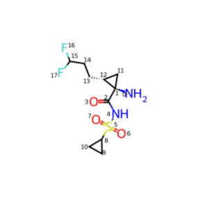 N[C@]1(C(=O)NS(=O)(=O)C2CC2)C[C@H]1CCC(F)F